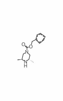 C[C@H]1CN(C(=O)OCc2ccccc2)C[C@H](C)N1